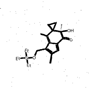 CC[Si](CC)(CC)OCC1=C(C)C=C2C(=O)[C@](C)(O)C3(CC3)C(C)=C21